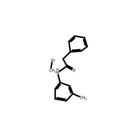 CCC.Cc1cccc(NC(=O)Cc2ccccc2)c1